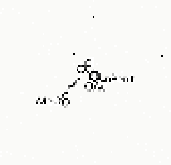 CCCCCC(OC(C)=O)c1ccc([C@@H]2[C@@H](CC=CCCCC(=O)OC)CC[C@H]2Cl)cc1